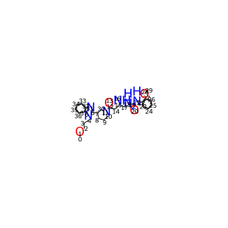 COCCCn1c(C2CCCN(C(=O)CC(N)CNC(=O)Nc3ccccc3OC)C2)nc2ccccc21